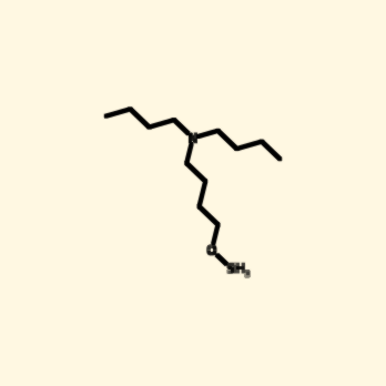 CCCCN(CCCC)CCCCO[SiH3]